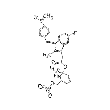 CC1=C(CC(=O)OC2(C)C=CC=C(CO[N+](=O)[O-])N2)c2cc(F)ccc2/C1=C\c1ccc([S+](C)[O-])cc1